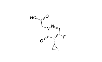 O=C(O)Cn1ncc(F)c(C2CC2)c1=O